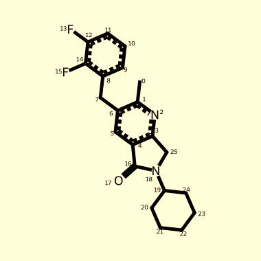 Cc1nc2c(cc1Cc1cccc(F)c1F)C(=O)N(C1CCCCC1)C2